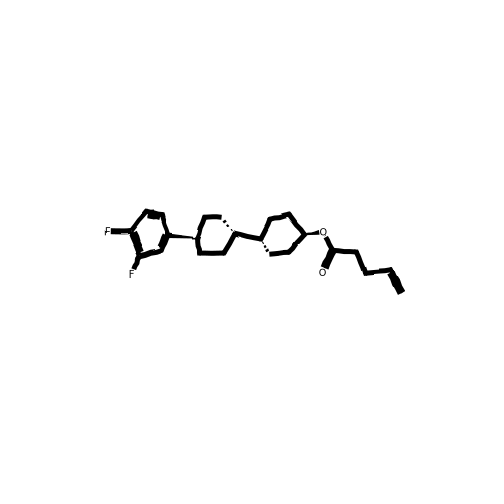 C=CCCC(=O)O[C@H]1CC[C@H]([C@H]2CC[C@H](c3ccc(F)c(F)c3)CC2)CC1